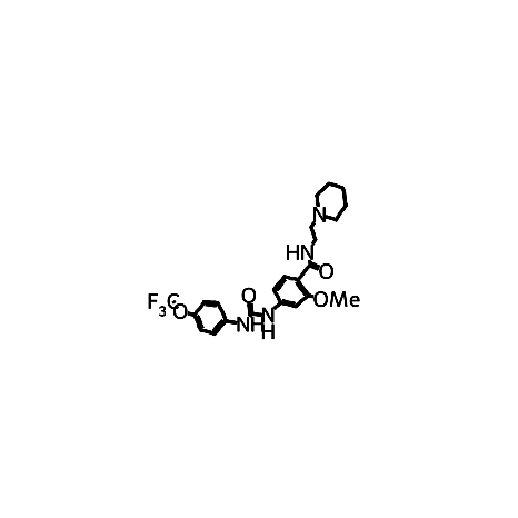 COc1cc(NC(=O)Nc2ccc(OC(F)(F)F)cc2)ccc1C(=O)NCCN1CCCCC1